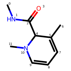 CNC(=O)C1C(C)=CC=CN1C